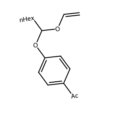 C=COC(CCCCCC)Oc1ccc(C(C)=O)cc1